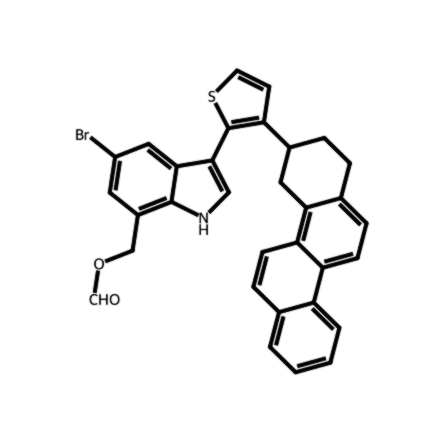 O=COCc1cc(Br)cc2c(-c3sccc3C3CCc4ccc5c(ccc6ccccc65)c4C3)c[nH]c12